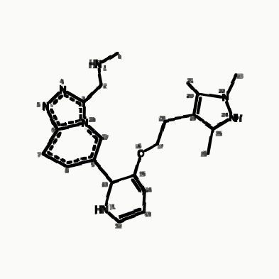 CNCc1nnc2ccc(C3NC=CC=C3OCCC3=C(C)N(C)NC3C)cn12